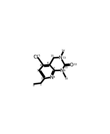 CCc1cc(Cl)c2c(n1)N(C)C(=O)N(C)C2